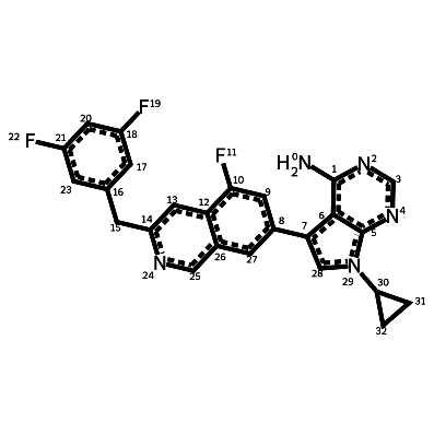 Nc1ncnc2c1c(-c1cc(F)c3cc(Cc4cc(F)cc(F)c4)ncc3c1)cn2C1CC1